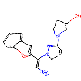 N/C=C(/c1cc2ccccc2o1)N1CC=CC(N2CCC(O)C2)=N1